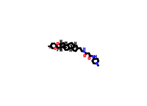 C[C@H]1CC[C@@]2(OC1)O[C@H]1C[C@H]3[C@@H]4CC[C@@H]5CC(CCNC(=O)CC(=O)NC6CCN(C)CC6)CC[C@]5(C)[C@H]4CC[C@]3(C)[C@H]1[C@@H]2C